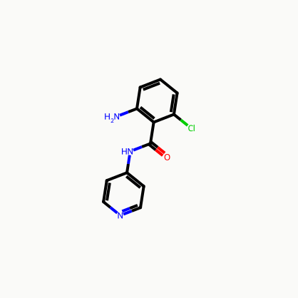 Nc1cccc(Cl)c1C(=O)Nc1ccncc1